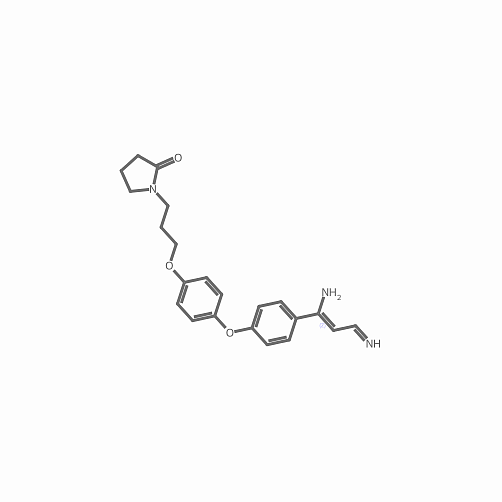 N=C/C=C(\N)c1ccc(Oc2ccc(OCCCN3CCCC3=O)cc2)cc1